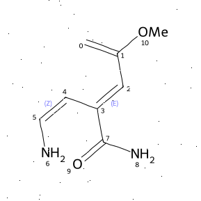 C=C(/C=C(\C=C/N)C(N)=O)OC